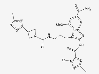 CCn1nc(C)cc1C(=O)Nc1nc2cc(C(N)=O)cc(OC)c2n1CCCNC(=O)N1CC(c2nc(C)no2)C1